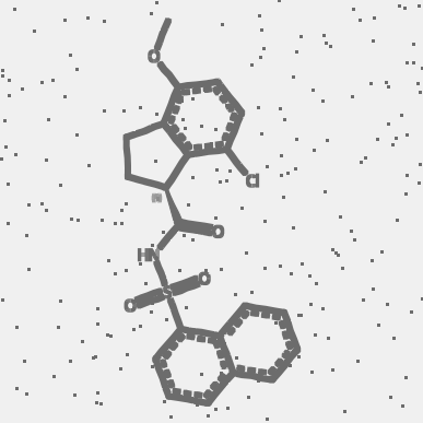 COc1ccc(Cl)c2c1CC[C@@H]2C(=O)NS(=O)(=O)c1cccc2ccccc12